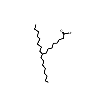 CCCCCCCCC(CCCCCCCC)CCCCCCCC(=O)O